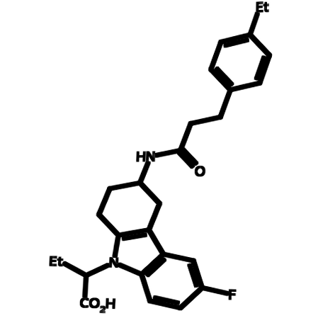 CCc1ccc(CCC(=O)NC2CCc3c(c4cc(F)ccc4n3C(CC)C(=O)O)C2)cc1